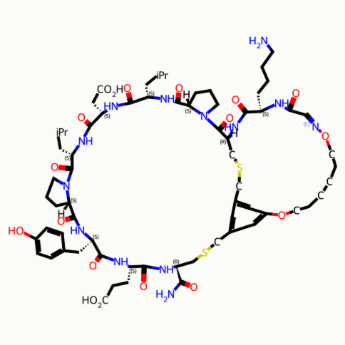 CC(C)C[C@@H]1NC(=O)[C@@H]2CCCN2C(=O)[C@@H]2CSCc3cc(cc(c3)OCCCCCCO/N=C/C(=O)N[C@@H](CCCCN)C(=O)N2)CSC[C@@H](C(N)=O)NC(=O)[C@H](CCC(=O)O)NC(=O)[C@H](Cc2ccc(O)cc2)NC(=O)[C@@H]2CCCN2C(=O)[C@H](CC(C)C)NC(=O)[C@H](CC(=O)O)NC1=O